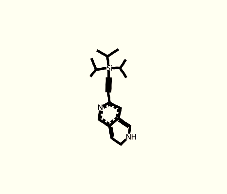 CC(C)[Si](C#Cc1cc2c(cn1)=CCNC=2)(C(C)C)C(C)C